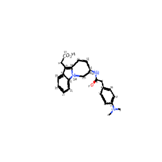 CN(C)c1ccc(CC(=O)N[C@@H]2CCc3c(CC(=O)O)c4ccccc4n3C2)cc1